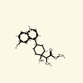 COC(=O)C(C)C1(O)CCC(c2ccnc3ccc(F)cc23)CC1